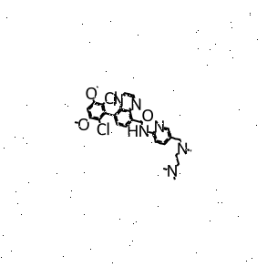 COc1cc(OC)c(Cl)c(-c2ccc(C(=O)Nc3ccc(CN(C)CCN(C)C)cn3)c3nccnc23)c1Cl